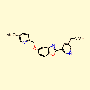 CNCc1cncc(-c2nc3cc(OCc4ccc(OC)cn4)ccc3o2)c1